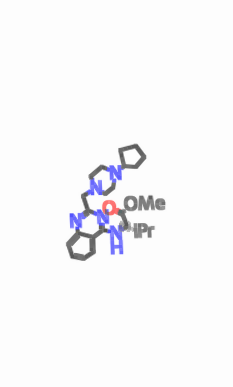 COC(=O)[C@@H](Nc1nc(CN2CCN(C3CCCC3)CC2)nc2ccccc12)C(C)C